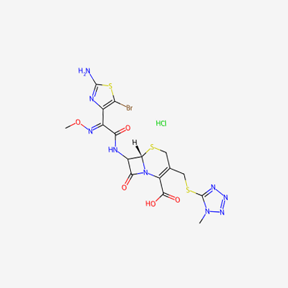 CON=C(C(=O)NC1C(=O)N2C(C(=O)O)=C(CSc3nnnn3C)CS[C@@H]12)c1nc(N)sc1Br.Cl